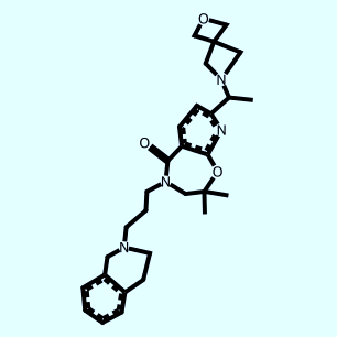 CC(c1ccc2c(n1)OC(C)(C)CN(CCCN1CCc3ccccc3C1)C2=O)N1CC2(COC2)C1